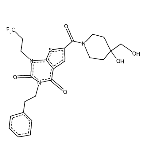 O=C(c1cc2c(=O)n(CCc3ccccc3)c(=O)n(CCC(F)(F)F)c2s1)N1CCC(O)(CO)CC1